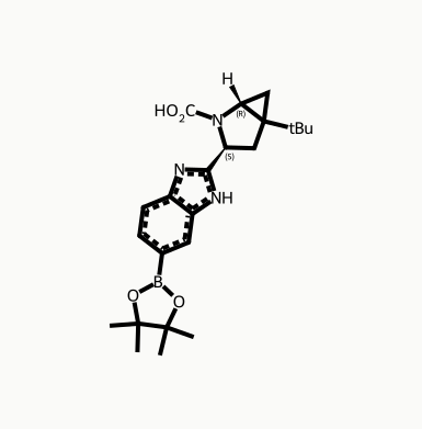 CC(C)(C)C12C[C@@H](c3nc4ccc(B5OC(C)(C)C(C)(C)O5)cc4[nH]3)N(C(=O)O)[C@@H]1C2